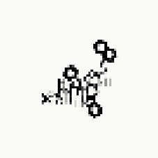 CC(C)(C)OC(=O)NNC(=O)C(C)(Cc1ccccc1)NC(=O)[C@H](Cc1c[nH]c2ccccc12)NC(=O)OCc1cccc2ccccc12